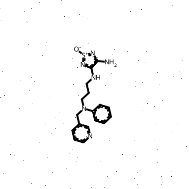 Nc1n[s+]([O-])nc1NCCCN(Cc1cccnc1)c1ccccc1